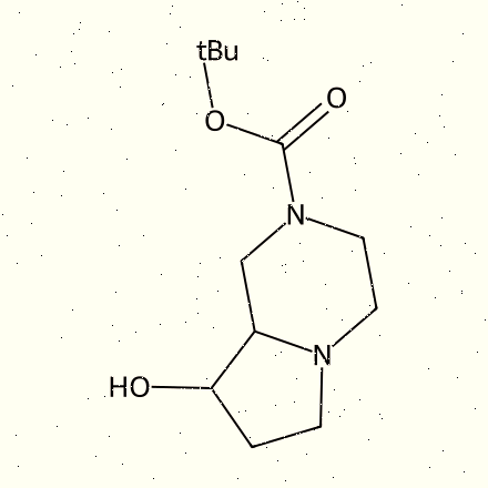 CC(C)(C)OC(=O)N1CCN2CCC(O)C2C1